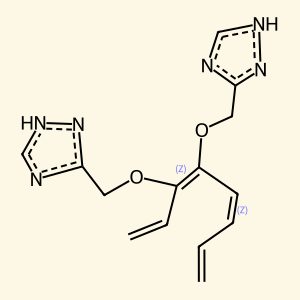 C=C/C=C\C(OCc1nc[nH]n1)=C(/C=C)OCc1nc[nH]n1